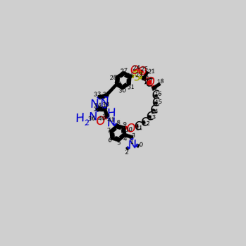 CN(C)Cc1cccc2c1OCCCCCCC1(C)CC(C)(O1)S(=O)(=O)c1ccc(cc1)-c1cnc(N)c(n1)C(=O)N2